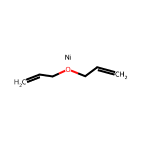 C=CCOCC=C.[Ni]